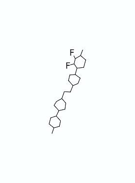 CC1CCC(C2CCC(CCC3CCC(C4CCC(C)C(F)C4F)CC3)CC2)CC1